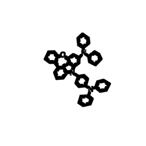 c1ccc(N(c2ccccc2)c2ccc(-n3c4cc(N(c5ccccc5)c5ccccc5)cc5oc6ccccc6c6cccc3c6c54)cc2)cc1